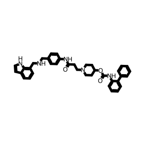 O=C(CCN1CCC(OC(=O)Nc2ccccc2-c2ccccc2)CC1)Nc1ccc(CNCc2cccc3cc[nH]c23)cc1